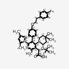 Cc1cc(C)n(-c2nc(C)c([C@H](OC(C)(C)C)C(=O)O)c(N3CCC(C)(C)CC3)c2-c2ccc(OCCc3ccc(F)cc3)cc2)n1